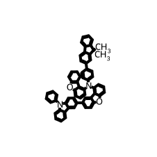 CC1(C)c2ccccc2-c2ccc(-c3c#cc(N(c4cccc5oc6c(c45)CCC=C6)c4cccc5oc6ccc(-c7ccc8c(c7)c7ccccc7n8-c7ccccc7)cc6c45)cc3)cc21